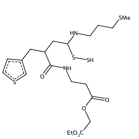 CCOC(=O)COC(=O)CCNC(=O)C(Cc1ccsc1)CC(NCCCSC)SS